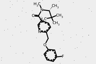 C[C@@H](N(C)C(=O)c1ccc(COc2cccc(F)c2)nc1)C(C)(C)C